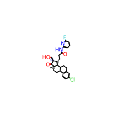 C[C@]12CCC3c4ccc(Cl)cc4CCC3C1[C@H](CCC(=O)Nc1cccc(F)n1)/C(=C/O)C2=O